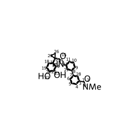 CNC(=O)c1cccc(-c2cccc(NC(=O)C3(c4ccc(O)c(O)c4)CC3)c2)c1